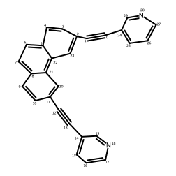 C(#Cc1ccc2ccc3ccc(C#Cc4cccnc4)cc3c2c1)c1cccnc1